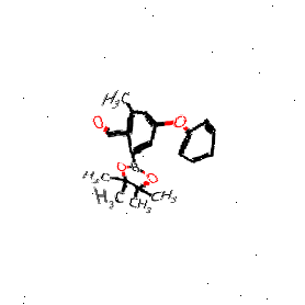 Cc1cc(Oc2ccccc2)cc(B2OC(C)(C)C(C)(C)O2)c1C=O